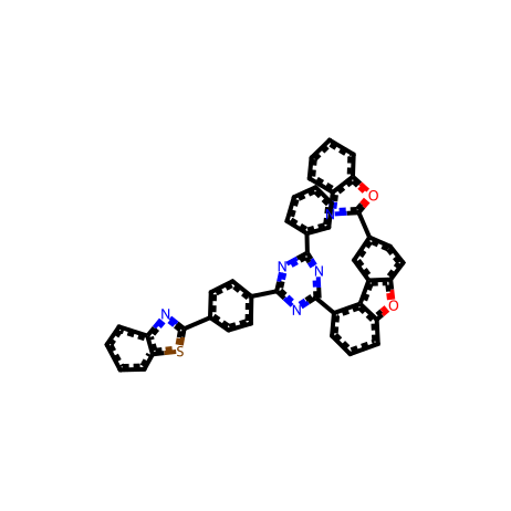 c1ccc(-c2nc(-c3ccc(-c4nc5ccccc5s4)cc3)nc(-c3cccc4oc5ccc(-c6nc7ccccc7o6)cc5c34)n2)cc1